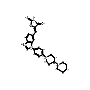 O=C1NC(=S)S/C1=C\c1ccc2ncn(-c3ccc(N4CCC(N5CCCCC5)CC4)cc3)c2c1